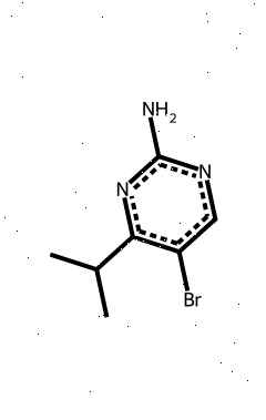 CC(C)c1nc(N)ncc1Br